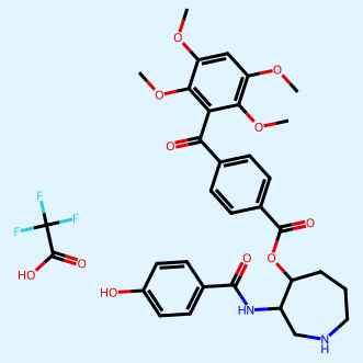 COc1cc(OC)c(OC)c(C(=O)c2ccc(C(=O)OC3CCCNCC3NC(=O)c3ccc(O)cc3)cc2)c1OC.O=C(O)C(F)(F)F